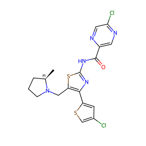 C[C@@H]1CCCN1Cc1sc(NC(=O)c2cnc(Cl)cn2)nc1-c1cc(Cl)cs1